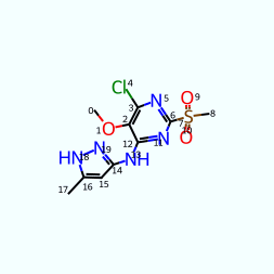 COc1c(Cl)nc(S(C)(=O)=O)nc1Nc1cc(C)[nH]n1